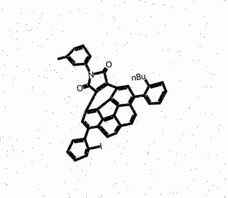 CCCCc1ccccc1-c1cc2c3c(=O)n(-c4cccc(C)c4)c(=O)c3c3cc(-c4ccccc4I)c4ccc5ccc1c1c5c4c3c21